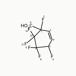 O=C(O)C1(F)C=CC(F)C(F)(F)C1(F)F